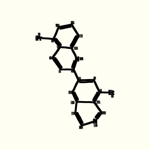 CCc1cc(-c2ccc3c(C(C)C)cccc3n2)cc2ccncc12